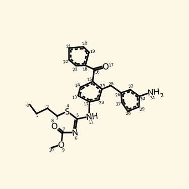 CCCCSC(=NC(=O)OC)Nc1ccc(C(=O)c2ccccc2)c(Cc2cccc(N)c2)c1